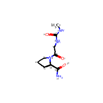 CNC(=O)NCC(=O)N1CCCC1C(N)=O